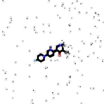 CC(C)C(=O)/C(C=N)=C1\C=CC(N2CCC(F)CC2)=CN1